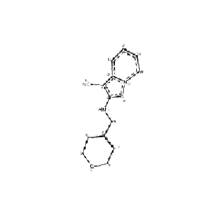 N#Cc1c(NCC2CCOCC2)nn2ccccc12